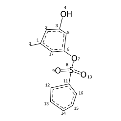 Cc1cc(O)cc(OS(=O)(=O)c2ccccc2)c1